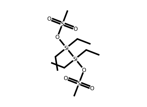 CC[Si](CC)(OS(C)(=O)=O)[Si](CC)(CC)OS(C)(=O)=O